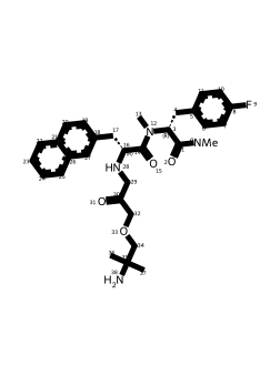 CNC(=O)[C@@H](Cc1ccc(F)cc1)N(C)C(=O)[C@@H](Cc1ccc2ccccc2c1)NCC(=O)COCC(C)(C)N